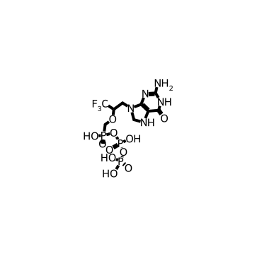 Nc1nc2c(c(=O)[nH]1)NCN2CC(OCP(=O)(O)OP(=O)(O)OP(=O)(O)O)C(F)(F)F